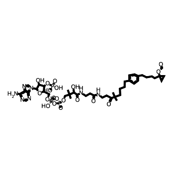 CC(C)(CCCCc1ccc(CCCCC2(OC=O)CC2)cc1)C(=O)CCNC(=O)CCNC(=O)C(O)C(C)(C)COP(=O)(O)OP(=O)(O)OCC1OC(n2cnc3c(N)ncnc32)C(O)C1OP(=O)(O)O